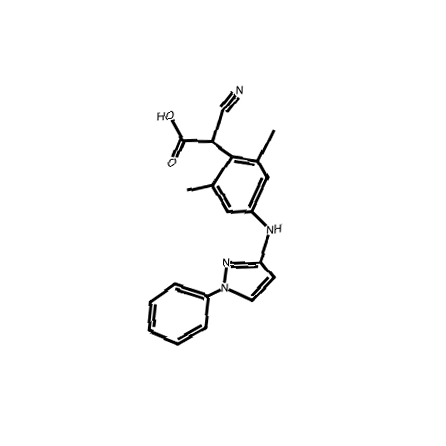 Cc1cc(Nc2ccn(-c3ccccc3)n2)cc(C)c1C(C#N)C(=O)O